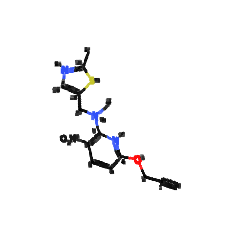 C#CCOc1ccc([N+](=O)[O-])c(N(C)Cc2cnc(C)s2)n1